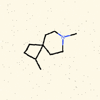 CC1CCC12CCN(C)CC2